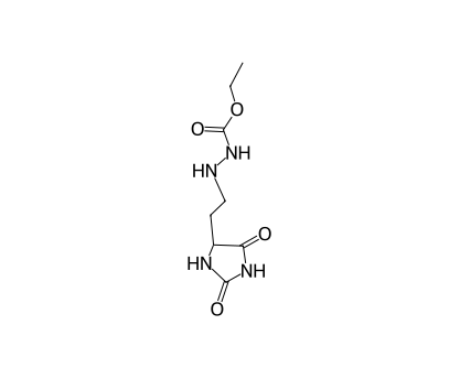 CCOC(=O)NNCCC1NC(=O)NC1=O